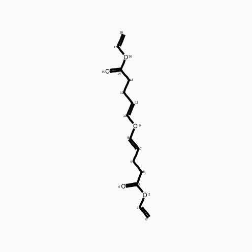 C=COC(=O)CCC=COC=CCCC(=O)OC=C